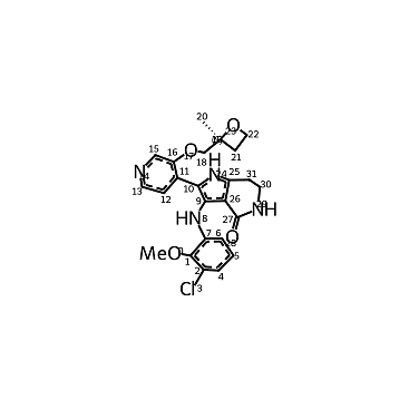 COc1c(Cl)cccc1Nc1c(-c2ccncc2OC[C@]2(C)CCO2)[nH]c2c1C(=O)NCC2